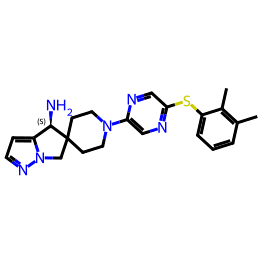 Cc1cccc(Sc2cnc(N3CCC4(CC3)Cn3nccc3[C@H]4N)cn2)c1C